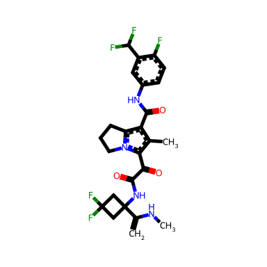 C=C(NC)C1(NC(=O)C(=O)c2c(C)c(C(=O)Nc3ccc(F)c(C(F)F)c3)c3n2CCC3)CC(F)(F)C1